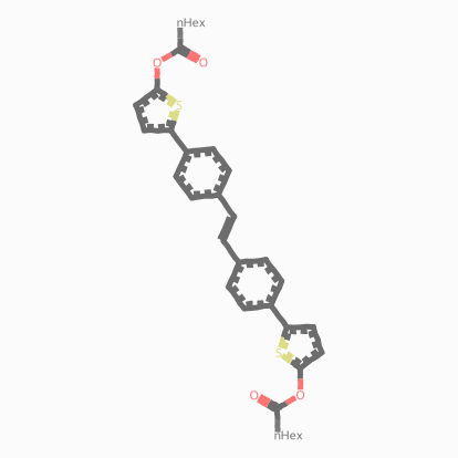 CCCCCCC(=O)Oc1ccc(-c2ccc(/C=C/c3ccc(-c4ccc(OC(=O)CCCCCC)s4)cc3)cc2)s1